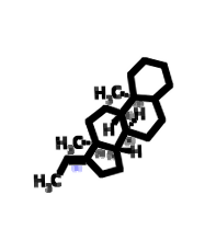 C/C=C1\CC[C@H]2[C@@H]3CCC4CCCC[C@]4(C)[C@H]3CC[C@]12C